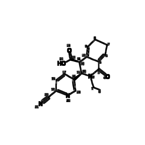 CCN1C(=O)C2=CCCC=C2[C@H](C(=O)O)[C@@H]1c1ccc(C#N)nc1